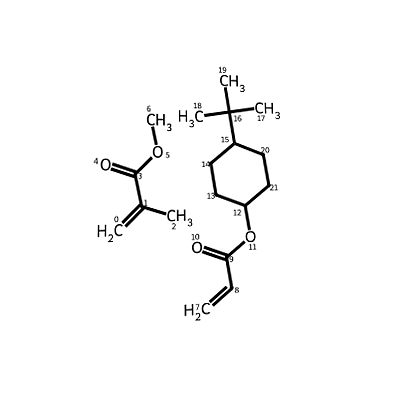 C=C(C)C(=O)OC.C=CC(=O)OC1CCC(C(C)(C)C)CC1